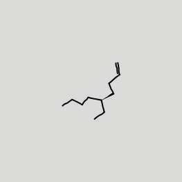 C=CCC[C@@H](CC)CCCC